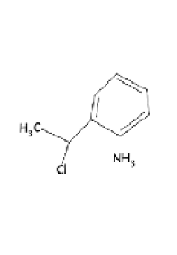 CC(Cl)c1ccccc1.N